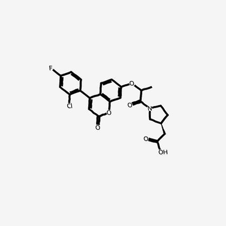 CC(Oc1ccc2c(-c3ccc(F)cc3Cl)cc(=O)oc2c1)C(=O)N1CC[C@@H](CC(=O)O)C1